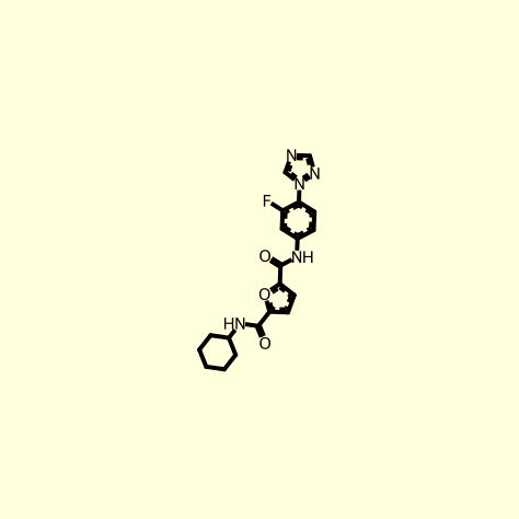 O=C(Nc1ccc(-n2cncn2)c(F)c1)c1ccc(C(=O)NC2CCCCC2)o1